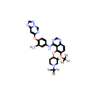 [2H]C([2H])([2H])Oc1ccc2ncnc(Nc3ccc(Oc4cc5ncnn5cn4)c(C)c3)c2c1O[C@@H]1CCN(C([2H])([2H])[2H])CC1(F)F